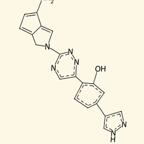 NC1=CC=C2CN(c3ncc(-c4ccc(-c5cn[nH]c5)cc4O)nn3)C=C12